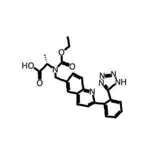 CCOC(=O)N(Cc1ccc2nc(-c3ccccc3-c3nnn[nH]3)ccc2c1)[C@@H](C)C(=O)O